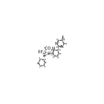 CC[C@@]1(C(=O)O)[C@@H](c2ccccc2)[C@@H]1c1cccc(-c2ncc(F)cn2)c1